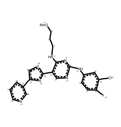 COCCCNc1nc(Nc2ccc(F)c(Cl)c2)ncc1-c1nc(-c2cccnc2)cs1